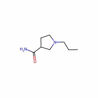 CCCN1CCC(C(N)=O)C1